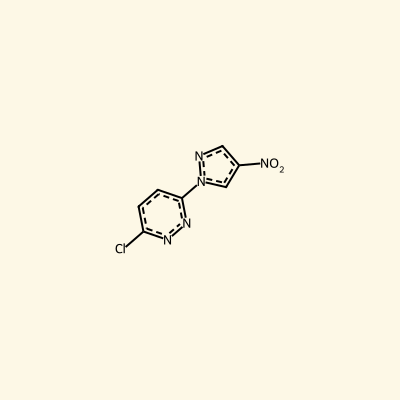 O=[N+]([O-])c1cnn(-c2ccc(Cl)nn2)c1